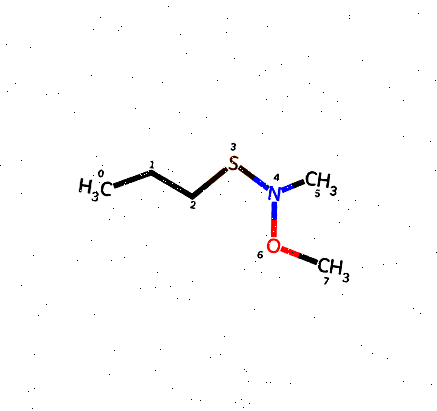 CCCSN(C)OC